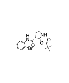 CC(C)(C)C(=O)OC1NCC[C@H]1C(=O)Nc1ccccc1Br